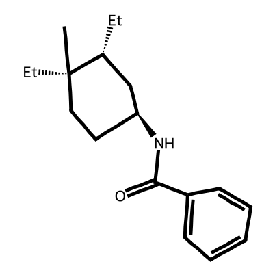 CC[C@@H]1C[C@@H](NC(=O)c2ccccc2)CC[C@]1(C)CC